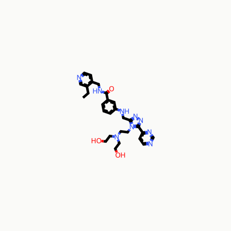 CCc1cnccc1CNC(=O)c1cccc(NCc2nnc(-c3ccncn3)n2CCN(CCO)CCO)c1